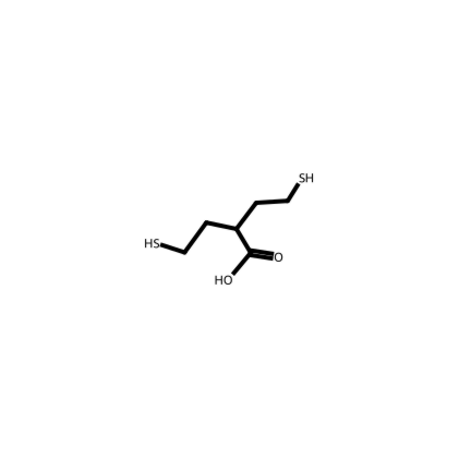 O=C(O)C(CCS)CCS